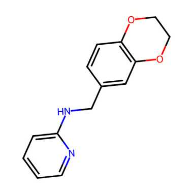 c1ccc(NCc2ccc3c(c2)OCCO3)nc1